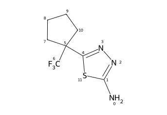 Nc1nnc(C2(C(F)(F)F)CCCC2)s1